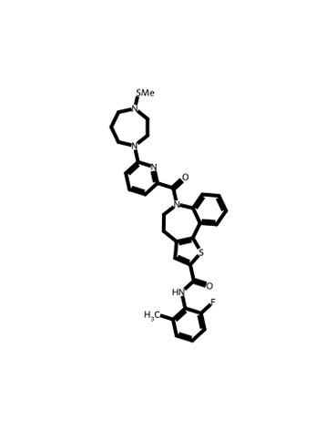 CSN1CCCN(c2cccc(C(=O)N3CCc4cc(C(=O)Nc5c(C)cccc5F)sc4-c4ccccc43)n2)CC1